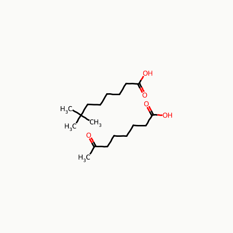 CC(=O)CCCCCC(=O)O.CC(C)(C)CCCCCC(=O)O